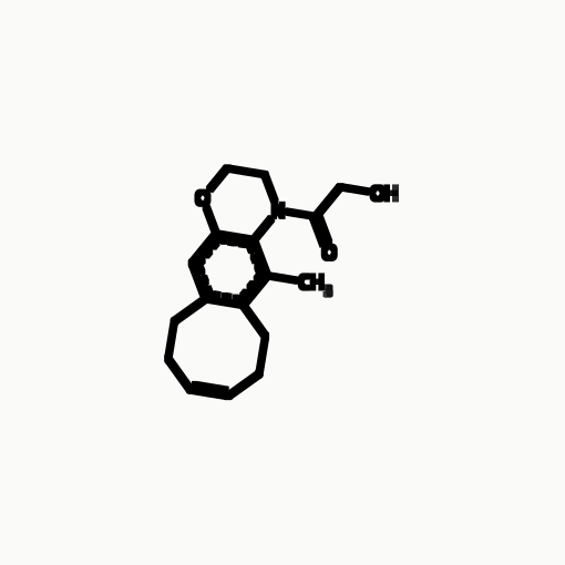 Cc1c2c(cc3c1N(C(=O)CO)CCO3)CC/C=C\CC2